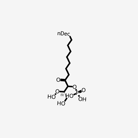 CCCCCCCCCCCCCCCCCC(=O)C(OP(=O)(O)O)[C@H](CO)OO